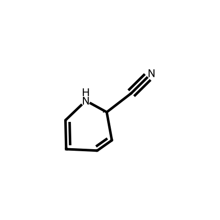 N#C[C]1C=CC=CN1